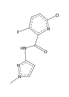 Cn1ccc(NC(=O)c2nc(Cl)ccc2F)n1